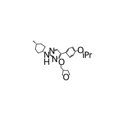 CC(C)Oc1ccc(-c2cnc(N[C@H]3CC[C@H](C)CC3)nc2OCC2CCOC2)cc1